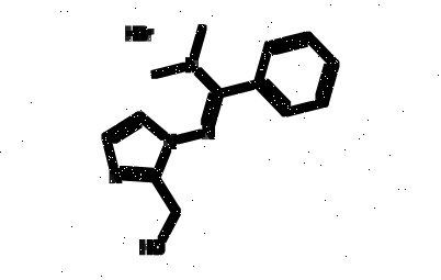 Br.CN(C)C(=Nn1ccnc1CO)c1ccccc1